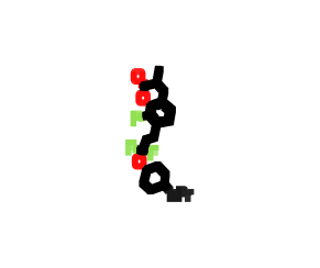 CCCC1CCC(OC(F)(F)CCc2ccc3c(c2F)OC(=O)C(C)C3)CC1